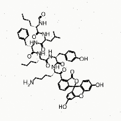 CCCC[C@H](NC=O)C(=O)N[C@@H](CC(C)C)C(=O)N[C@@H](Cc1ccccc1)C(=O)N[C@@H](CCCC)C(=O)N[C@@H](Cc1ccc(O)cc1)C(=O)N[C@@H](CCCCN)C(=O)c1cccc2c1C(=O)OC21c2ccc(O)cc2Oc2cc(O)ccc21